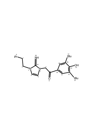 CC(C)CCn1ccn(CC(=O)c2cc(C(C)(C)C)c(O)c(C(C)(C)C)c2)c1=N